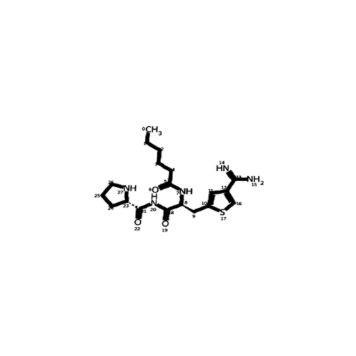 CCCCCC(=O)N[C@@H](Cc1cc(C(=N)N)cs1)C(=O)NC(=O)[C@@H]1CCCN1